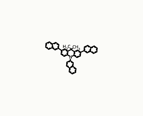 CC1(C)c2cc(-c3ccc4ccccc4c3)ccc2N(c2ccc3ccccc3c2)c2ccc(-c3ccc4ccccc4c3)cc21